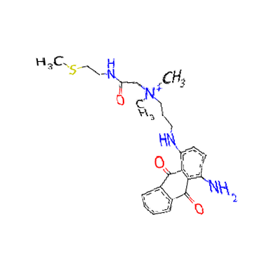 CSCCNC(=O)C[N+](C)(C)CCCNc1ccc(N)c2c1C(=O)c1ccccc1C2=O